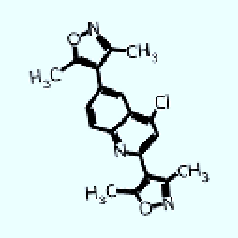 Cc1noc(C)c1-c1ccc2nc(-c3c(C)noc3C)cc(Cl)c2c1